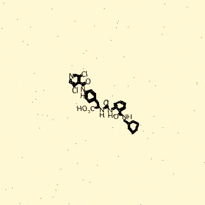 O=C(Nc1ccccc1C(=O)NCC1CCCCC1)NC(Cc1ccc(NC(=O)c2c(Cl)cncc2Cl)cc1)C(=O)O